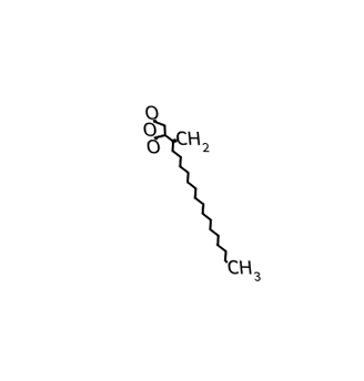 C=C(CCCCCCCCCCCCCCCC)C1CC(=O)OC1=O